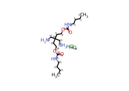 CCCCNC(=O)OCCC(CN)(CN)CCOC(=O)NCCCC.Cl.Cl